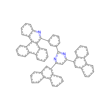 c1cc(-c2nc(-c3cc4ccccc4c4ccccc34)cc(-c3cc4ccccc4c4ccccc34)n2)cc(-c2nc3ccccc3c3c4ccccc4c4ccccc4c23)c1